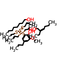 C=CCSSCC=C.C=CCSSSCC=C.C=CCc1ccc(O)c(OC)c1.CCCC=C(CC)CO.CCCCCCCCO